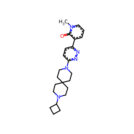 Cn1cccc(-c2ccc(N3CCC4(CC3)CCN(C3CCC3)CC4)nn2)c1=O